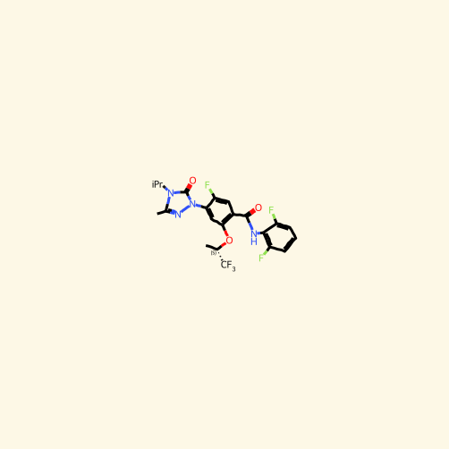 Cc1nn(-c2cc(O[C@@H](C)C(F)(F)F)c(C(=O)Nc3c(F)cccc3F)cc2F)c(=O)n1C(C)C